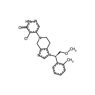 COC[C@@H](c1ccccc1C)n1cnc2c1CCN(c1cn[nH]c(=O)c1Cl)C2